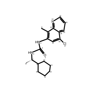 Cc1c(NC(=O)N[C@@H](C)C2CCCCC2)cc(Cl)c2cccnc12